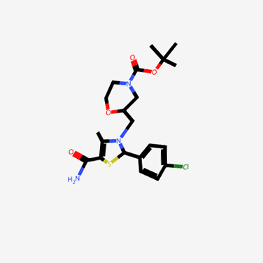 CC1=C(C(N)=O)SC(c2ccc(Cl)cc2)N1CC1CN(C(=O)OC(C)(C)C)CCO1